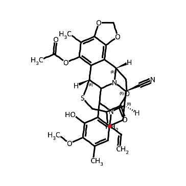 C=CCN1C2c3c(cc(C)c(OC)c3O)C[C@@H]1[C@H](C#N)N1C2[C@@H]2SCC(N)C(=O)OC[C@H]1c1c3c(c(C)c(OC(C)=O)c12)OCO3